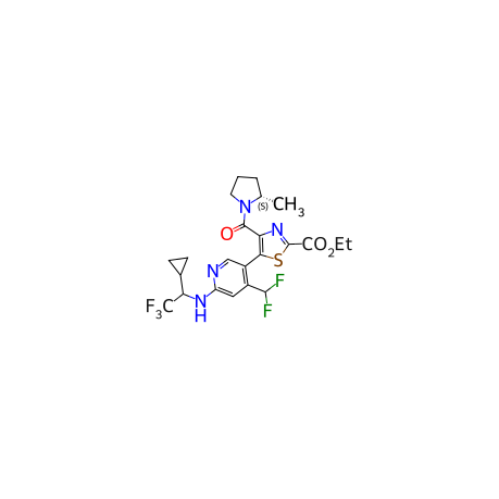 CCOC(=O)c1nc(C(=O)N2CCC[C@@H]2C)c(-c2cnc(NC(C3CC3)C(F)(F)F)cc2C(F)F)s1